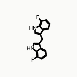 Fc1cccc2c(Cc3c[nH]c4c(F)cccc34)c[nH]c12